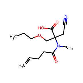 C=CCCC(=O)N(C)C(CC#N)(COCCC)C(=O)O